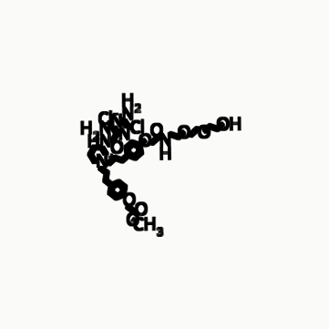 COC(=O)COc1ccc(CCC[N+]2(CCCc3ccc(OCC(=O)NCCOCCOCCO)cc3)CCCC(NC(=O)c3nc(Cl)c(N)nc3N)C2)cc1.[Cl-]